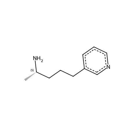 C[C@H](N)CCCc1cccnc1